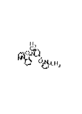 Cc1cccc(OC[C@H]2CC[C@@H](C)N(C(=O)c3ccccc3-n3nccn3)C2)n1